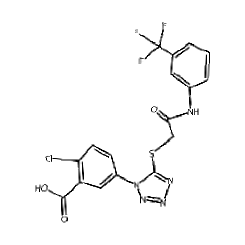 O=C(CSc1nnnn1-c1ccc(Cl)c(C(=O)O)c1)Nc1cccc(C(F)(F)F)c1